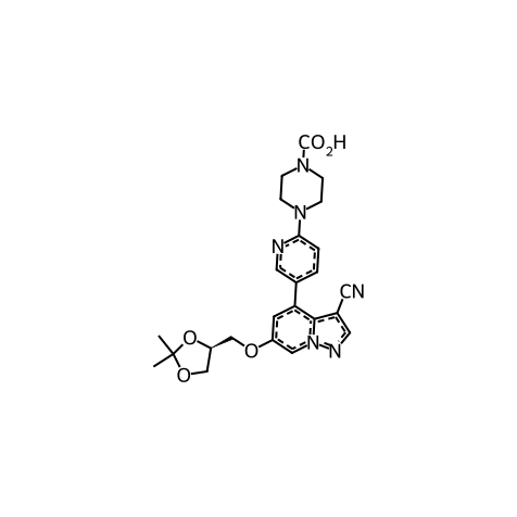 CC1(C)OC[C@H](COc2cc(-c3ccc(N4CCN(C(=O)O)CC4)nc3)c3c(C#N)cnn3c2)O1